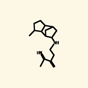 C=C(CCNC1CC2CC1C1C(C)CCC21)C(C)=N